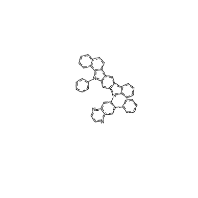 c1ccc(-c2cc3nccnc3cc2-n2c3ccccc3c3cc4c5ccc6ccccc6c5n(-c5ccccc5)c4cc32)cc1